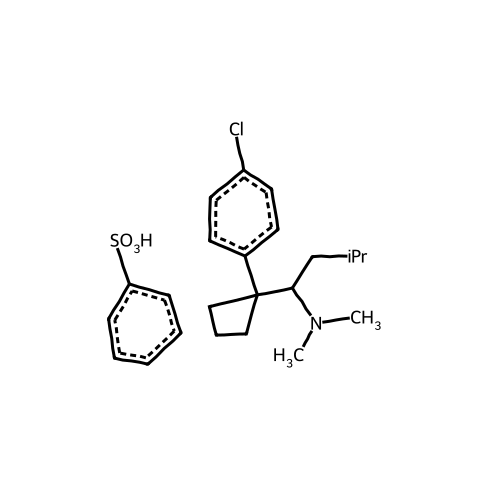 CC(C)CC(N(C)C)C1(c2ccc(Cl)cc2)CCC1.O=S(=O)(O)c1ccccc1